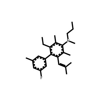 CCCN(C)c1c(C)c(C=C(C)C)c(-c2cc(C)cc(F)c2)c(CC)c1C